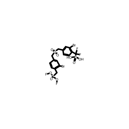 O=P(Cc1ccc(CS(=O)(=O)Cc2ccc(C(F)(F)P(=O)(O)O)c(Br)c2)cc1Br)(OF)OF